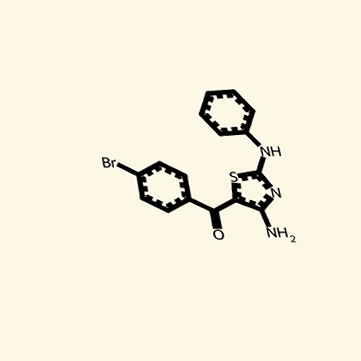 Nc1nc(Nc2ccccc2)sc1C(=O)c1ccc(Br)cc1